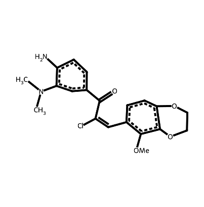 COc1c(/C=C(/Cl)C(=O)c2ccc(N)c(N(C)C)c2)ccc2c1OCCO2